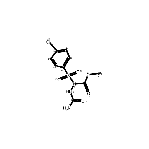 CC(C)OC(=O)N(NC(N)=O)S(=O)(=O)c1ccc(Cl)cc1